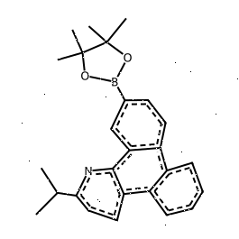 CC(C)c1ccc2c3ccccc3c3ccc(B4OC(C)(C)C(C)(C)O4)cc3c2n1